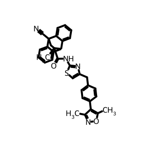 Cc1noc(C)c1-c1ccc(Cc2csc(NC(=O)C3(C)CC4(C#N)c5ccccc5C3c3ccccc34)n2)cc1